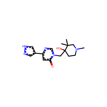 CN1CCC(O)(Cn2cnc(-c3cn[nH]c3)cc2=O)C(C)(C)C1